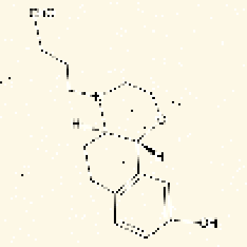 O=CCCCN1CCO[C@@H]2c3cc(O)ccc3CC[C@H]21